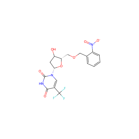 O=c1[nH]c(=O)n([C@@H]2CC(O)[C@H](COCc3ccccc3[N+](=O)[O-])O2)cc1C(F)(F)F